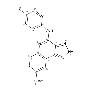 COc1ccc2nc(Nc3ccc(C)cc3)c3n[nH]cc3c2c1